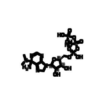 CN(C)C1(N)N=CN=C2C1=NCN2[C@@H]1O[C@H](COP(=O)(O)OP(=O)(O)OP(=O)(O)O)[C@@H](O)[C@H]1O